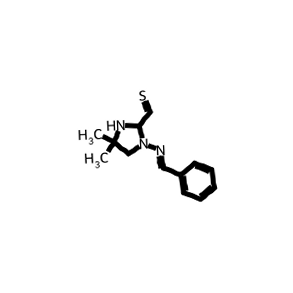 CC1(C)CN(N=Cc2ccccc2)C(C=S)N1